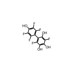 Oc1c(O)c(F)c(-c2c(F)c(F)c(O)c(F)c2F)c(O)c1F